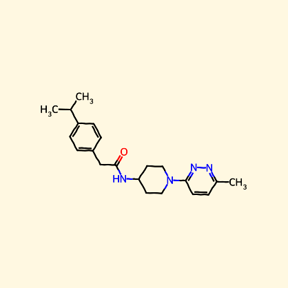 Cc1ccc(N2CCC(NC(=O)Cc3ccc(C(C)C)cc3)CC2)nn1